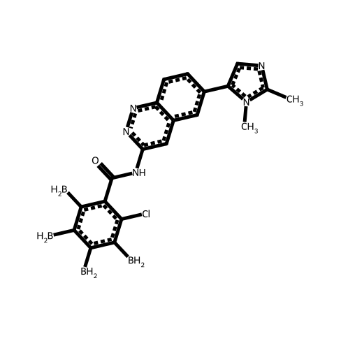 Bc1c(B)c(B)c(C(=O)Nc2cc3cc(-c4cnc(C)n4C)ccc3nn2)c(Cl)c1B